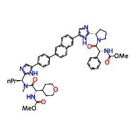 CCC[C@@H](c1ncc(-c2ccc(-c3ccc4cc(-c5cnc([C@@H]6CCCN6C(=O)[C@H](NC(=O)OC)c6ccccc6)[nH]5)ccc4c3)cc2)[nH]1)N(C)C(=O)[C@@H](NC(=O)OC)C1CCOCC1